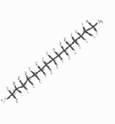 NC(F)(F)C(F)(F)C(F)(F)C(F)(F)C(F)(F)C(F)(F)C(F)(F)C(F)(F)C(F)(F)C(F)(F)C(F)(F)C(F)(F)C(F)(F)C(F)(F)C(F)(F)C(F)(F)F